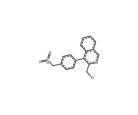 O=[SH](=O)Cc1ccc(-c2c(CCl)ncc3ccccc23)cc1